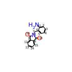 Nc1ccccc1CN1C(=O)c2ccccc2C1=O